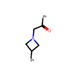 CC(C)C(=O)CN1CC(C(C)C)C1